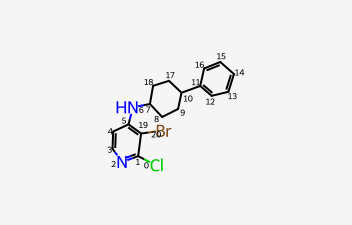 Clc1nccc(NC2CCC(c3ccccc3)CC2)c1Br